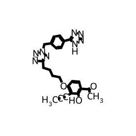 CCCc1c(OCCCCc2nnn(Cc3ccc(-c4nnn[nH]4)cc3)n2)ccc(C(C)=O)c1O